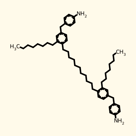 CCCCCCCCc1cc(Cc2ccc(N)cc2)ccc1CCCCCCCCCCCc1ccc(Cc2ccc(N)cc2)cc1CCCCCCCC